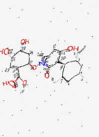 C=C[C@@H]1C[C@H](C)C[C@H](C)[C@H]1c1c(O)ccn(O[C@@H]2C[C@@H](O)[C@@H](O)C=C2C(O)OC)c1=O